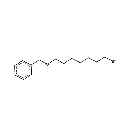 BrCCCCCCCOCc1ccccc1